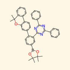 CC1(C)Oc2cc(-c3ccc(B4OC(C)(C)C(C)(C)O4)cc3-c3nc(-c4ccccc4)nc(-c4ccccc4)n3)ccc2-c2ccccc21